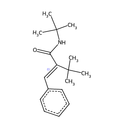 CC(C)(C)NC(=O)/C(=C/c1ccccc1)C(C)(C)C